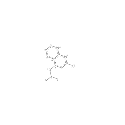 CC(C)Oc1cc(Cl)nc2ncccc12